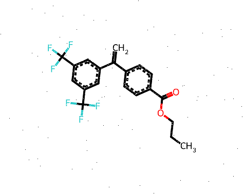 C=C(c1ccc(C(=O)OCCC)cc1)c1cc(C(F)(F)F)cc(C(F)(F)F)c1